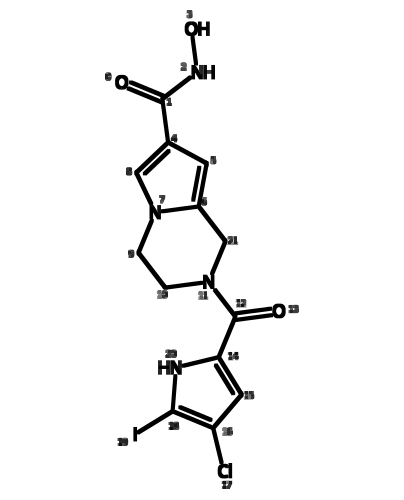 O=C(NO)c1cc2n(c1)CCN(C(=O)c1cc(Cl)c(I)[nH]1)C2